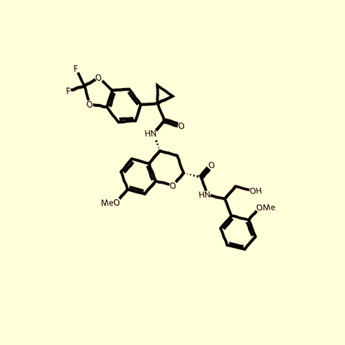 COc1ccc2c(c1)O[C@@H](C(=O)NC(CO)c1ccccc1OC)C[C@H]2NC(=O)C1(c2ccc3c(c2)OC(F)(F)O3)CC1